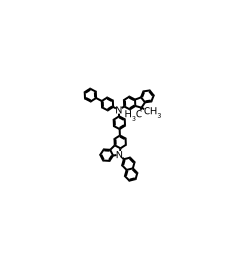 CC1(C)c2ccccc2-c2ccc(N(c3ccc(C4=CCC5C(=C4)c4ccccc4N5c4ccc5ccccc5c4)cc3)c3ccc(-c4ccccc4)cc3)cc21